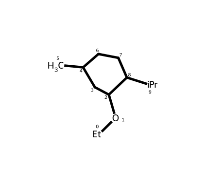 [CH2]COC1CC(C)CCC1C(C)C